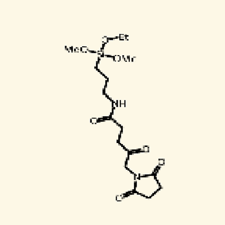 CCO[Si](CCCNC(=O)CCC(=O)CN1C(=O)CCC1=O)(OC)OC